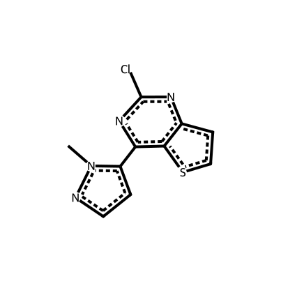 Cn1nccc1-c1nc(Cl)nc2ccsc12